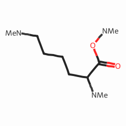 CNCCCCC(NC)C(=O)ONC